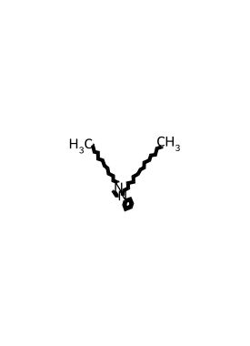 CCCCCCCCCCCCCCC1N(CCCCCCCCCCCC)C=CN1c1ccccc1